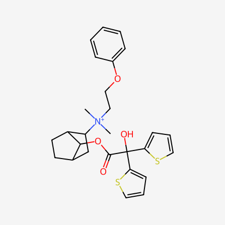 C[N+](C)(CCOc1ccccc1)C1CC2CCC1C2OC(=O)C(O)(c1cccs1)c1cccs1